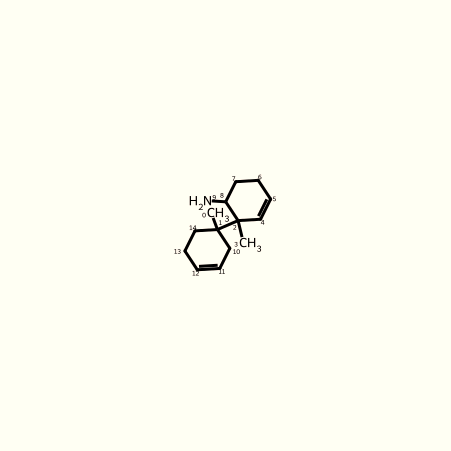 CC1(C2(C)C=CCCC2N)CC=CCC1